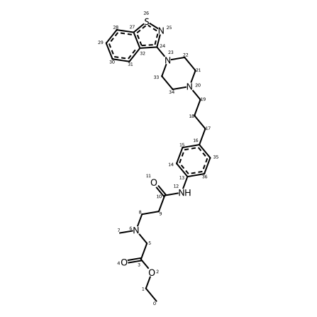 CCOC(=O)CN(C)CCC(=O)Nc1ccc(CCCN2CCN(c3nsc4ccccc34)CC2)cc1